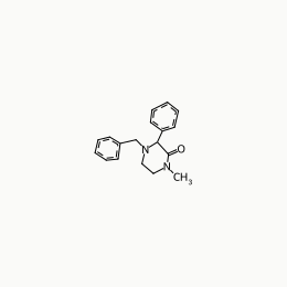 CN1CCN(Cc2ccccc2)C(c2ccccc2)C1=O